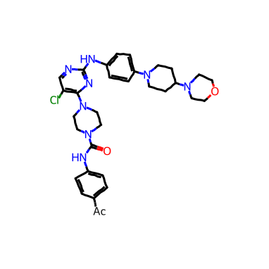 CC(=O)c1ccc(NC(=O)N2CCN(c3nc(Nc4ccc(N5CCC(N6CCOCC6)CC5)cc4)ncc3Cl)CC2)cc1